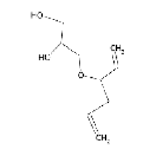 C=CCC(C=C)OCC(O)CO